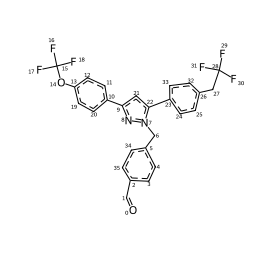 O=Cc1ccc(Cn2nc(-c3ccc(OC(F)(F)F)cc3)cc2-c2ccc(CC(F)(F)F)cc2)cc1